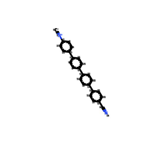 [C-]#[N+]c1ccc(-c2ccc(-c3ccc(-c4ccc(C#N)cc4)cc3)cc2)cc1